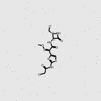 CON=C(C(=O)N[C@@H]1C(=O)N[C@@H]1CCl)c1csc(NC(=O)CCl)n1